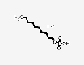 CCCCCCCCCCOP(=O)([O-])O.[Cs+]